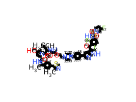 Cc1ncsc1-c1ccc([C@H](C)NC(=O)[C@@H]2C[C@@H](O)CN2C(=O)[C@@H](NC(=O)COCCN2CCN(c3ccc(-c4cnc5[nH]cc(C(=O)c6c(F)ccc(NS(=O)(=O)N7CC[C@@H](F)C7)c6F)c5c4)cc3)CC2)C(C)(C)C)cc1